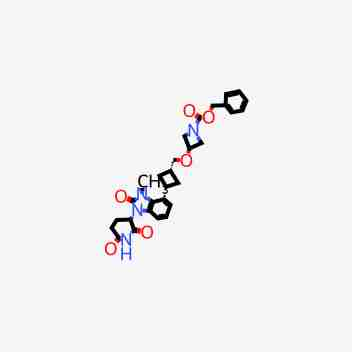 Cn1c(=O)n(C2CCC(=O)NC2=O)c2cccc([C@H]3C[C@@H](COC4CN(C(=O)OCc5ccccc5)C4)C3)c21